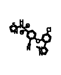 Cn1nccc1-c1ccc(Cl)cc1Oc1ccc(S(=O)(=O)Nc2nccs2)cc1C#N